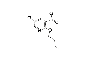 CCCCOc1ncc(Cl)cc1C(=O)Cl